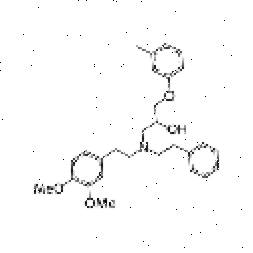 COc1ccc(CCN(CCc2ccccc2)CC(O)COc2cccc(C)c2)cc1OC